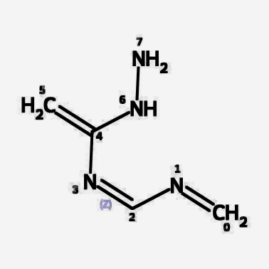 C=N/C=N\C(=C)NN